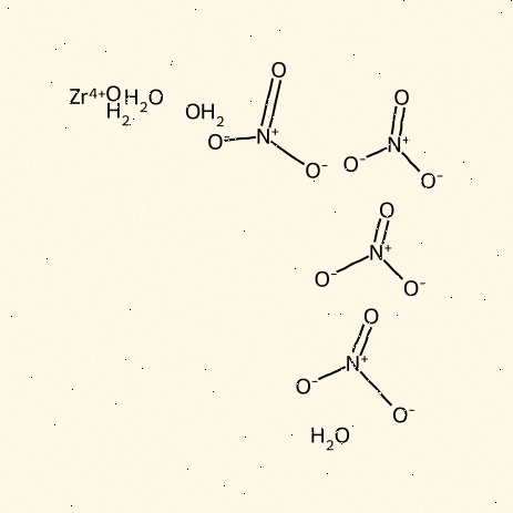 O.O.O.O.O=[N+]([O-])[O-].O=[N+]([O-])[O-].O=[N+]([O-])[O-].O=[N+]([O-])[O-].[Zr+4]